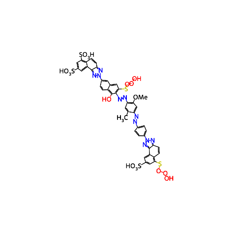 COc1cc(N=Nc2ccc(-n3nc4ccc5c(SOOO)cc(S(=O)(=O)O)cc5c4n3)cc2)c(C)cc1N=Nc1c(SOOO)cc2cc(-n3nc4ccc5c(S(=O)(=O)O)cc(S(=O)(=O)O)cc5c4n3)ccc2c1O